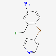 Nc1ccc(Sc2ccncc2)c(CF)c1